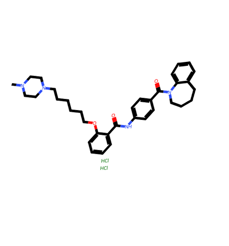 CN1CCN(CCCCCCOc2ccccc2C(=O)Nc2ccc(C(=O)N3CCCCc4ccccc43)cc2)CC1.Cl.Cl